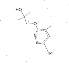 Cc1cc(C(C)C)cnc1OCC(C)(C)O